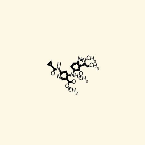 CCc1c2c(OC)c(Nc3cc(NC(=O)C4CC4)ncc3C(=O)OC)ccc2nn1C